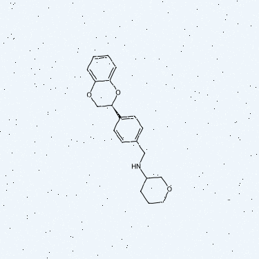 c1ccc2c(c1)OC[C@H](c1ccc(CNC3CCCOC3)cc1)O2